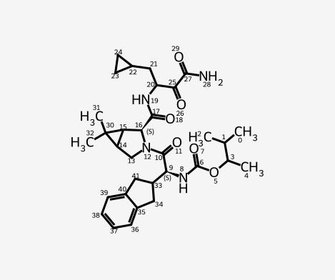 CC(C)C(C)OC(=O)N[C@H](C(=O)N1CC2C([C@H]1C(=O)NC(CC1CC1)C(=O)C(N)=O)C2(C)C)C1Cc2ccccc2C1